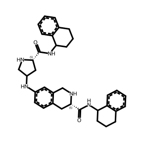 O=C(NC1CCCc2ccccc21)[C@@H]1Cc2ccc(NC3CN[C@H](C(=O)NC4CCCc5ccccc54)C3)cc2CN1